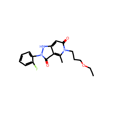 CCOCCCn1c(C)c2c(=O)n(-c3ccccc3F)[nH]c2cc1=O